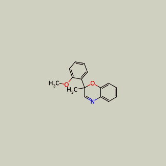 COc1ccccc1C1(C)C=Nc2ccccc2O1